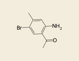 CC(=O)c1cc(Br)c(C)cc1N